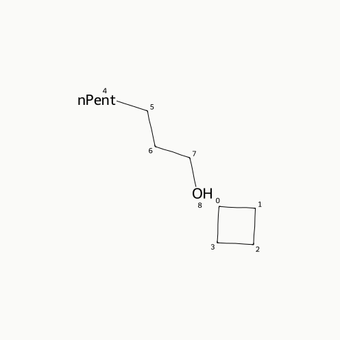 C1CCC1.CCCCCCCCO